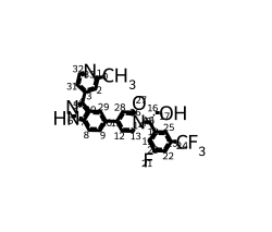 Cc1cc(-c2n[nH]c3ccc(-c4ccn([C@H](CO)c5cc(F)cc(C(F)(F)F)c5)c(=O)c4)cc23)ccn1